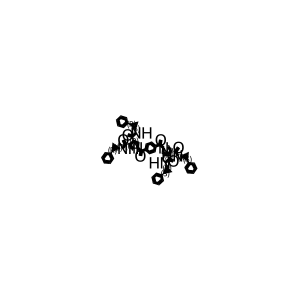 O=C(N[C@H]1C[C@@H]1c1ccccc1)[C@H]1CN(C(=O)c2ccc(C(=O)N3C[C@H](C(=O)N[C@@H]4C[C@H]4c4ccccc4)[C@@H](C(=O)N[C@@H]4C[C@H]4c4ccccc4)C3)cc2)C[C@@H]1C(=O)N[C@H]1C[C@@H]1c1ccccc1